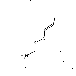 CC=CSSCN